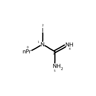 CCCN(I)C(=N)N